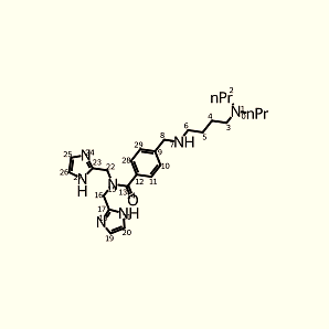 CCCN(CCC)CCCCNCc1ccc(C(=O)N(Cc2ncc[nH]2)Cc2ncc[nH]2)cc1